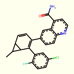 CC1C2C=CC(c3ccc4nccc(C(N)=O)c4c3)=C(c3cc(Cl)ccc3F)C12